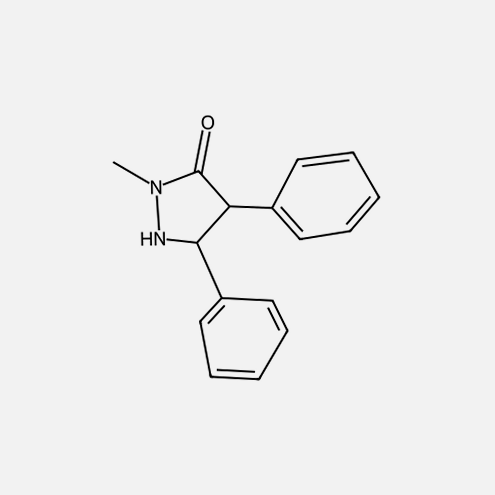 CN1NC(c2ccccc2)C(c2ccccc2)C1=O